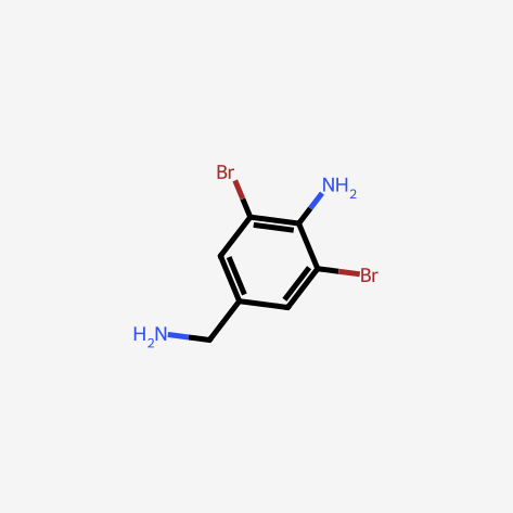 NCc1cc(Br)c(N)c(Br)c1